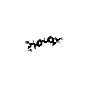 C[C@H](CCC=O)NC(=O)c1ccc(NCC2=NC3C(=O)NC(N)=NC3N=C2)cc1